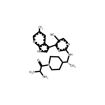 CC(N)C(=O)N1CCC([C@@H](C)Nc2ncc(C#N)c(-c3c[nH]c4ncc(C(F)(F)F)cc34)n2)CC1